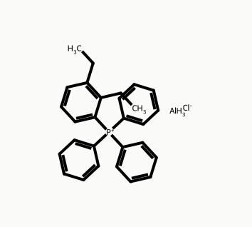 CCc1cccc([P+](c2ccccc2)(c2ccccc2)c2ccccc2)c1CC.[AlH3].[Cl-]